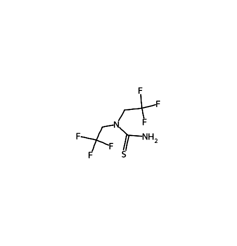 NC(=S)N(CC(F)(F)F)CC(F)(F)F